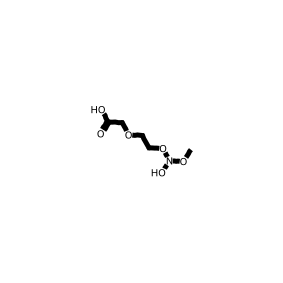 CON(O)OCCOCC(=O)O